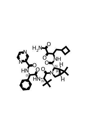 CC(C)(C)[C@H](NC(=O)[C@@H](NC(=O)c1cnccn1)c1ccccc1)C(=O)N1C[C@H]2[C@@H]([C@H]1C(=O)NC(CC1CCC1)C(=O)C(N)=O)C2(C)C